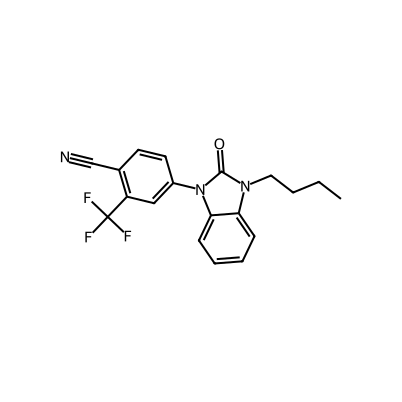 CCCCn1c(=O)n(-c2ccc(C#N)c(C(F)(F)F)c2)c2ccccc21